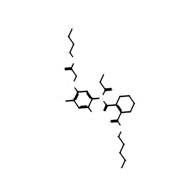 CCCCCOC(=O)C1=C(C(=O)N(C(=O)CC)c2cc(SCC(=O)OCCCC)c(Cl)cc2F)CCCC1